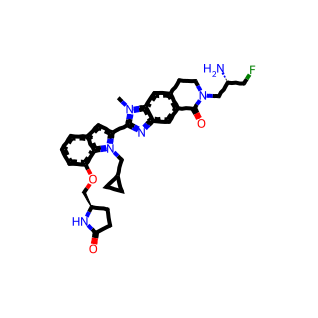 Cn1c(-c2cc3cccc(OC[C@H]4CCC(=O)N4)c3n2CC2CC2)nc2cc3c(cc21)CCN(C[C@H](N)CF)C3=O